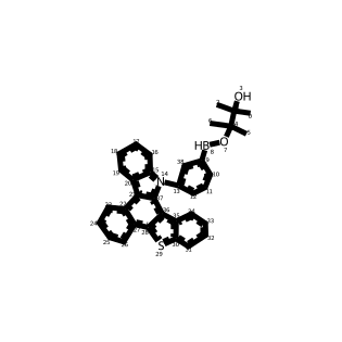 CC(C)(O)C(C)(C)OBc1cccc(-n2c3ccccc3c3c4ccccc4c4sc5ccccc5c4c32)c1